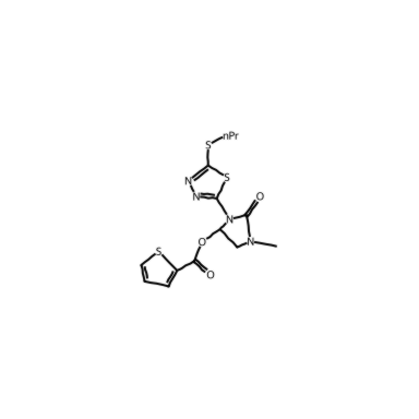 CCCSc1nnc(N2C(=O)N(C)CC2OC(=O)c2cccs2)s1